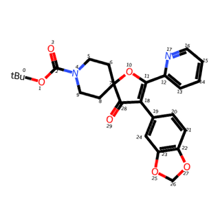 CC(C)(C)OC(=O)N1CCC2(CC1)OC(c1ccccn1)=C(c1ccc3c(c1)OCO3)C2=O